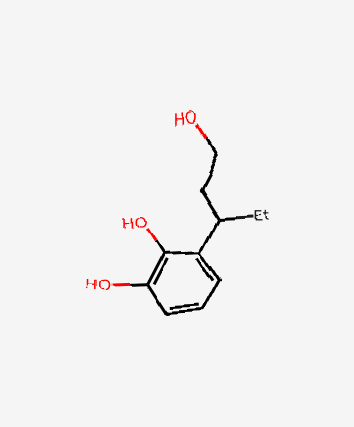 CCC(CCO)c1cccc(O)c1O